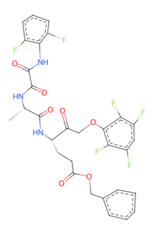 C[C@H](NC(=O)C(=O)Nc1c(F)cccc1F)C(=O)N[C@@H](CCC(=O)OCc1ccccc1)C(=O)COc1c(F)c(F)cc(F)c1F